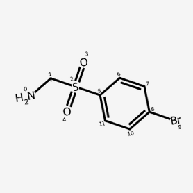 N[CH]S(=O)(=O)c1ccc(Br)cc1